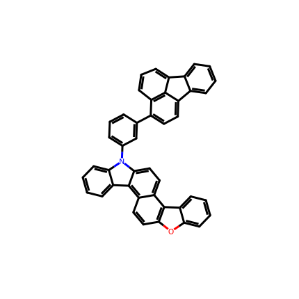 c1cc(-c2ccc3c4c(cccc24)-c2ccccc2-3)cc(-n2c3ccccc3c3c4ccc5oc6ccccc6c5c4ccc32)c1